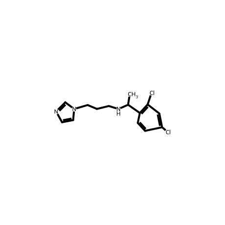 CC(NCCCn1ccnc1)c1ccc(Cl)cc1Cl